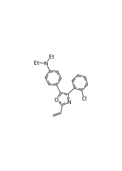 C=Cc1nc(-c2ccccc2Cl)c(-c2ccc(N(CC)CC)cc2)o1